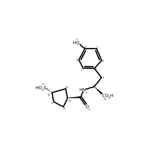 O=C(N[C@@H](Cc1ccc(O)cc1)C(=O)O)[C@H]1CC[C@H](S(=O)(=O)O)C1